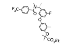 CCOC(=O)C(C)(C)Oc1ccc(Oc2cc(F)cc([C@@H](C)N(C)C(=O)c3ccc(C(F)(F)F)cc3)c2)cc1C